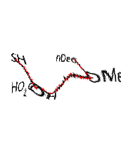 CCCCCCCCCCCCCCCCCC[C@H](C)[C@H](CCCCCCCCCCCCCCCC[C@H](C)C1C[C@H]1CCCCCCCCCCCCCCCCCC[C@@H](O)[C@@H](CCCCCCCCCCCCCCCCCCCCCCCCS)C(=O)O)OC